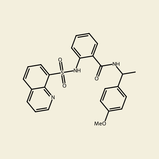 COc1ccc(C(C)NC(=O)c2ccccc2NS(=O)(=O)c2cccc3cccnc23)cc1